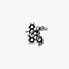 C[C@@H](c1ccccc1)N(Cc1ccccc1)[C@@H](CCN1CCC(F)(F)CC1)CC(=O)OC(C)(C)C